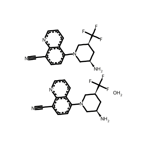 N#Cc1ccc(N2C[C@H](N)C[C@H](C(F)(F)F)C2)c2cccnc12.N#Cc1ccc(N2C[C@H](N)C[C@H](C(F)(F)F)C2)c2cccnc12.O